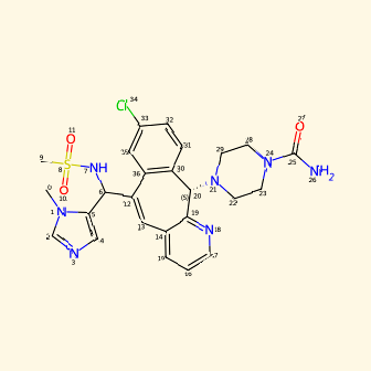 Cn1cncc1C(NS(C)(=O)=O)C1=Cc2cccnc2[C@@H](N2CCN(C(N)=O)CC2)c2ccc(Cl)cc21